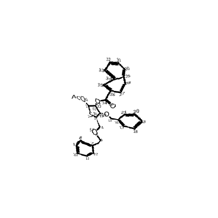 CC(=O)OC1S[C@H](COCc2ccccc2)[C@@H](OCc2ccccc2)[C@@H]1OC(=O)c1ccc2ccccc2c1